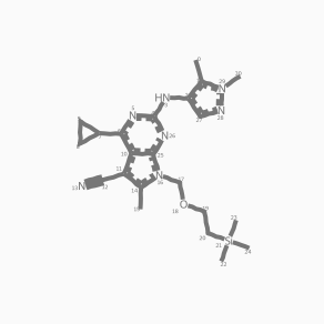 Cc1c(Nc2nc(C3CC3)c3c(C#N)c(C)n(COCC[Si](C)(C)C)c3n2)cnn1C